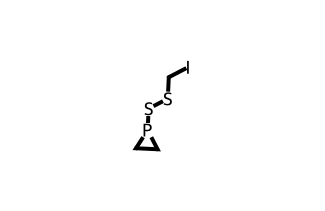 ICSSP1CC1